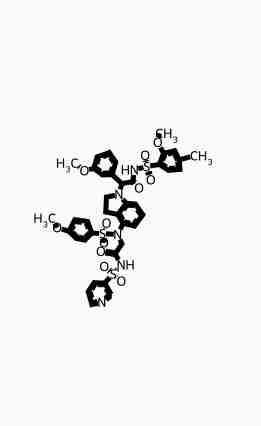 COc1ccc(S(=O)(=O)N(CC(=O)NS(=O)(=O)c2cccnc2)c2cccc3c2CCN3C(C(=O)NS(=O)(=O)c2ccc(C)cc2OC)c2cccc(OC)c2)cc1